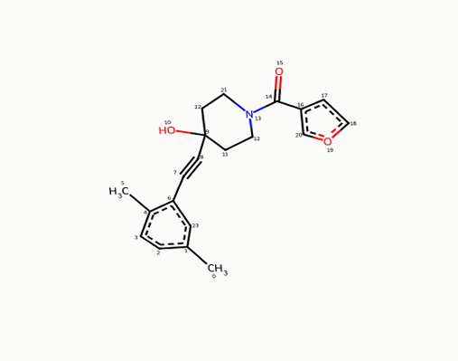 Cc1ccc(C)c(C#CC2(O)CCN(C(=O)c3ccoc3)CC2)c1